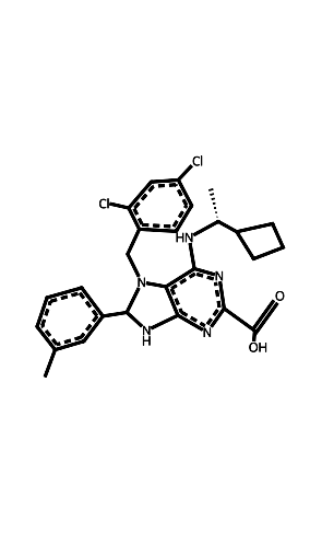 Cc1cccc(C2Nc3nc(C(=O)O)nc(N[C@H](C)C4CCC4)c3N2Cc2ccc(Cl)cc2Cl)c1